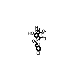 COC(=O)c1c(C)[nH]c2c(O)cc3c(c12)C(CCl)CN3C(=O)c1cc2cc(Cl)ccc2o1